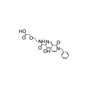 O=C(O)COCCNC(=O)c1ncc2c(=O)n(Cc3ccccc3)ccc2c1O